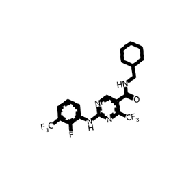 O=C(NCC1CCCCC1)c1cnc(Nc2cccc(C(F)(F)F)c2F)nc1C(F)(F)F